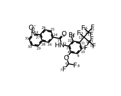 O=C(Nc1c(OC(F)F)ccc(C(F)(C(F)(F)F)C(F)(F)F)c1Br)c1ccc2c(ccc[n+]2[O-])c1